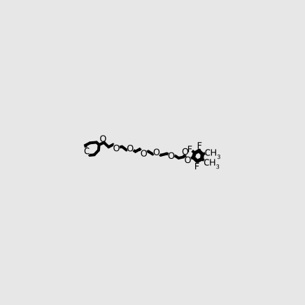 Cc1c(C)c(F)c(OC(=O)CCOCCOCCOCCOCCOCCC(=O)C2CCCCCCC2)c(F)c1F